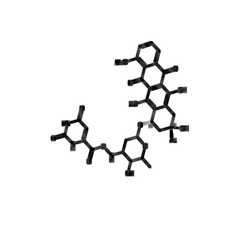 COc1cccc2c1C(=O)c1c(O)c3c(c(O)c1C2=O)C[C@@](O)(C(C)=O)C[C@@H]3OC1CC(NOC(=O)c2cc(=O)[nH]c(=O)[nH]2)C(O)C(C)O1